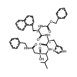 CC(C)CC(NC(=O)[C@H](Cc1c[nH]cn1)NC(=O)[C@@H](Cc1cccc2ccccc12)NC(=O)OCc1ccccc1)P(=O)(O)CC(=O)NCc1ccccc1